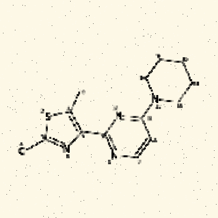 Cc1sc(Cl)nc1-c1nccc(N2CCCCC2)n1